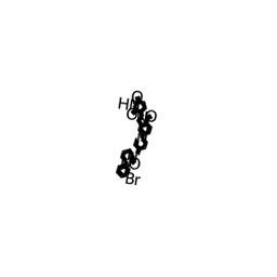 O=C1CCC(N2Cc3cc(N4CCC(CN5CCCN(c6cccc(Br)c6)C5=O)CC4)ccc3C2=O)C(=O)N1